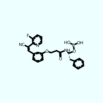 N#CC(=Cc1cccc(OCCC(=O)N[C@@H](Cc2ccccc2)OB(O)O)c1)c1ncccc1F